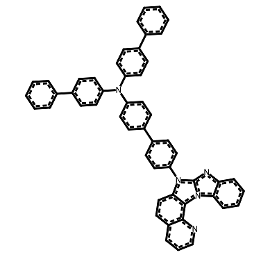 c1ccc(-c2ccc(N(c3ccc(-c4ccccc4)cc3)c3ccc(-c4ccc(-n5c6ccc7cccnc7c6n6c7ccccc7nc56)cc4)cc3)cc2)cc1